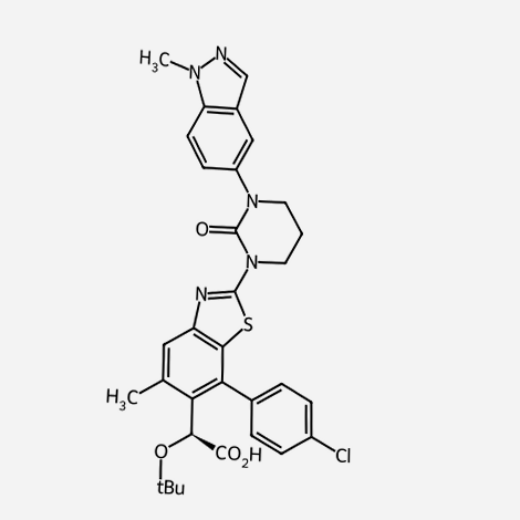 Cc1cc2nc(N3CCCN(c4ccc5c(cnn5C)c4)C3=O)sc2c(-c2ccc(Cl)cc2)c1[C@H](OC(C)(C)C)C(=O)O